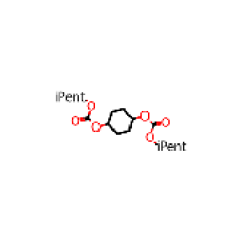 CCCC(C)OC(=O)OC1CCC(OC(=O)OC(C)CCC)CC1